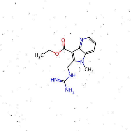 CCOC(=O)c1c(CNC(=N)N)n(C)c2cccnc12